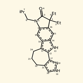 CCC1(CC)C(=O)N(CC(C)C)c2cc3c4c([nH]c3cc21)-c1n[nH]cc1CCC4